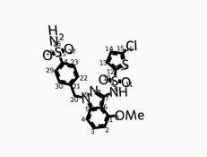 COc1cccc2c1c(NS(=O)(=O)c1ccc(Cl)s1)nn2Cc1ccc(S(N)(=O)=O)cc1